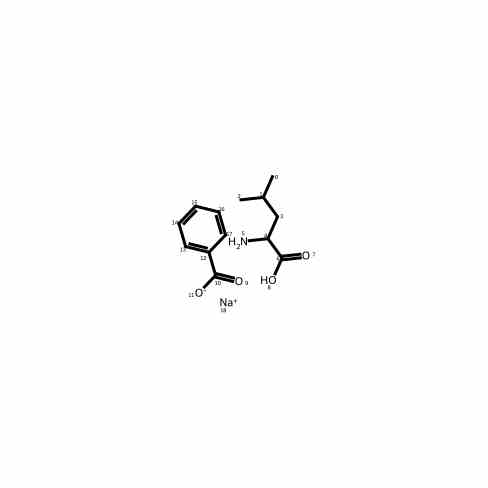 CC(C)CC(N)C(=O)O.O=C([O-])c1ccccc1.[Na+]